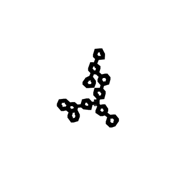 c1ccc(-c2ccc(N(c3ccc(-c4cccc(-c5cc(-c6ccccc6)ccc5-c5ccccc5)c4)cc3)c3ccc(-c4cc5ccccc5c5ccccc45)cc3)cc2)cc1